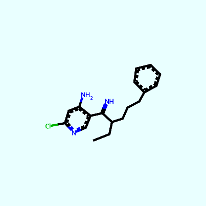 CCC(CCCc1ccccc1)C(=N)c1cnc(Cl)cc1N